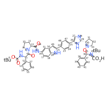 CC(C)(C)OC(=O)N[C@@H](C(=O)N1CCC[C@H]1C(=O)Nc1ccc2[nH]c(-c3ccc(-c4cnc([C@@H]5CCCN5O[C@H](c5ccccc5)N(C(=O)O)C(C)(C)C)[nH]4)cc3)cc2c1)c1ccccc1